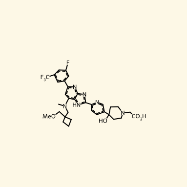 COCC1(CN(C)c2cc(-c3cc(F)cc(C(F)(F)F)c3)nc3nc(-c4ccc(C5(O)CCN(CC(=O)O)CC5)cn4)[nH]c23)CCC1